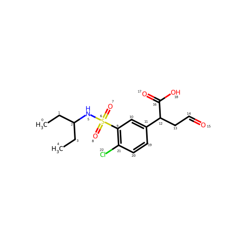 CCC(CC)NS(=O)(=O)c1cc(C(CC=O)C(=O)O)ccc1Cl